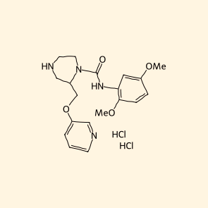 COc1ccc(OC)c(NC(=O)N2CCNCC2COc2cccnc2)c1.Cl.Cl